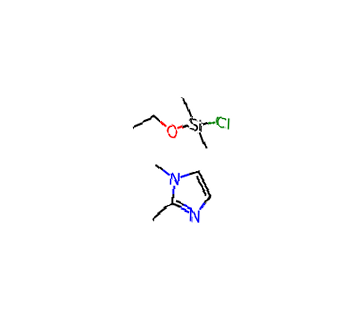 CCO[Si](C)(C)Cl.Cc1nccn1C